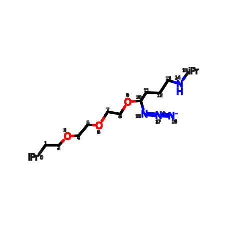 CC(C)CCOCCOCCOC(CCCNC(C)C)N=[N+]=[N-]